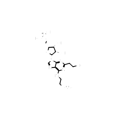 COCCNc1nc(CCC(F)(F)F)nc2c1ncn2[C@@H]1O[C@H](COP(O)(O)=S)[C@@H](O)[C@H]1O